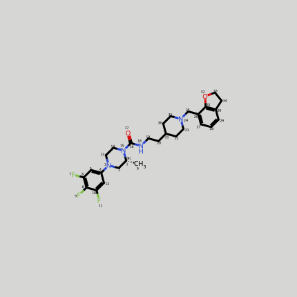 C[C@@H]1CN(c2cc(F)c(F)c(F)c2)CCN1C(=O)NCCC1CCN(Cc2cccc3c2OCC3)CC1